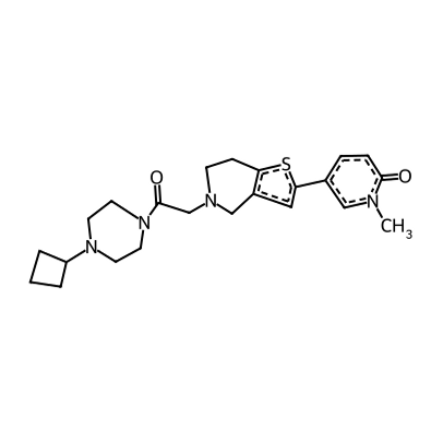 Cn1cc(-c2cc3c(s2)CCN(CC(=O)N2CCN(C4CCC4)CC2)C3)ccc1=O